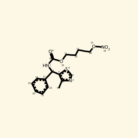 Cc1ncsc1C(NC(=O)OCCCCO[N+](=O)[O-])c1ccccc1